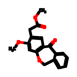 COC(=O)Cc1cc2c(cc1OC)OCc1ccccc1C2=O